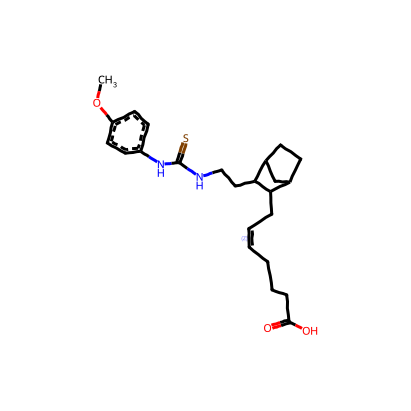 COc1ccc(NC(=S)NCCC2C3CCC(C3)C2C/C=C\CCCC(=O)O)cc1